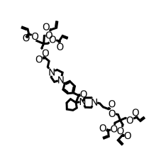 C=CC(=O)OCC(COC(=O)C=C)(COC(=O)C=C)COC(=O)CCN1CCN(c2ccc(C(=O)C3(N4CCN(CCC(=O)OCC(COC(=O)C=C)(COC(=O)C=C)COC(=O)C=C)CC4)CCCCC3)cc2)CC1